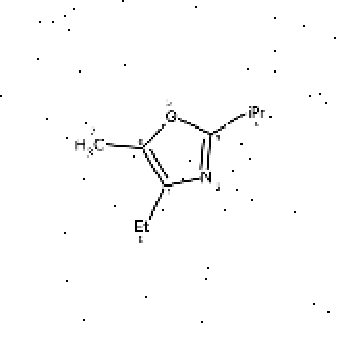 CCc1nc(C(C)C)oc1C